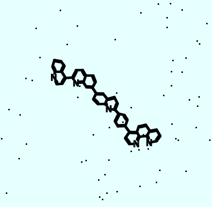 c1cnc2c(c1)ccc1c(-c3ccc(-c4ccc5cc(-c6ccc7ccc(-c8ccnc9ccccc89)nc7c6)ccc5n4)cc3)ccnc12